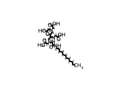 CCCCCCCCCCCCNC(=O)CN(CC(=O)O)CC(CCN(CC(=O)O)CC(=O)O)NCC(=O)O